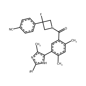 Cc1cc(C)c(-c2[nH]c(C(C)C)nc2C)cc1C(=O)N1CC(F)(c2ccc(C#N)cc2)C1